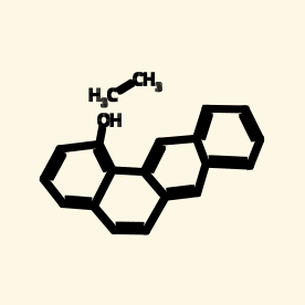 CC.Oc1cccc2ccc3cc4ccccc4cc3c12